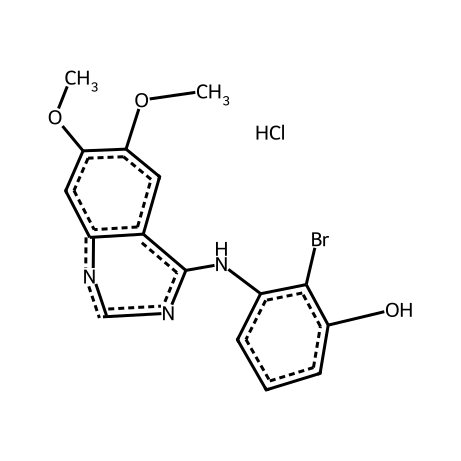 COc1cc2ncnc(Nc3cccc(O)c3Br)c2cc1OC.Cl